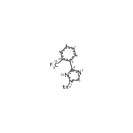 CCn1[c]nc(-c2ccccc2C(F)(F)F)n1